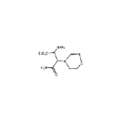 CCOC(=O)C(NC(C)=O)C(C(N)=O)N1CCOCC1